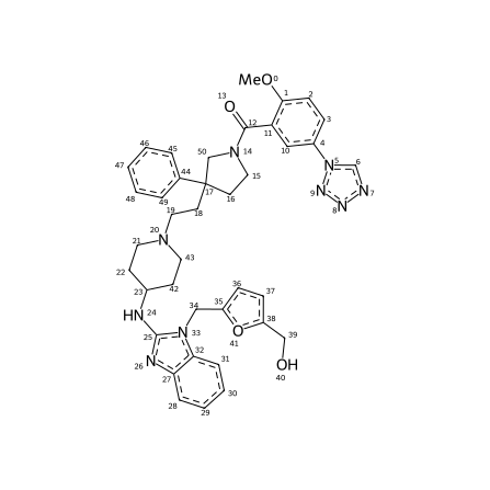 COc1ccc(-n2cnnn2)cc1C(=O)N1CCC(CCN2CCC(Nc3nc4ccccc4n3Cc3ccc(CO)o3)CC2)(c2ccccc2)C1